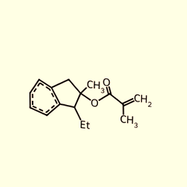 C=C(C)C(=O)OC1(C)Cc2ccccc2C1CC